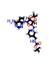 CC(C)(C)OC(=O)NCC1CCCN(C[C@H]2O[C@@H](n3ccc4c(N)ncnc43)[C@@H]3OC(C)(C)O[C@@H]32)C1